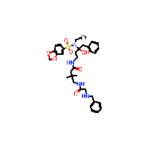 CC(C)CN(C(O)(CCNC(=O)CC(C)(C)CNC(=O)CNCc1ccccc1)Cc1ccccc1)S(=O)(=O)c1ccc2c(c1)OCO2